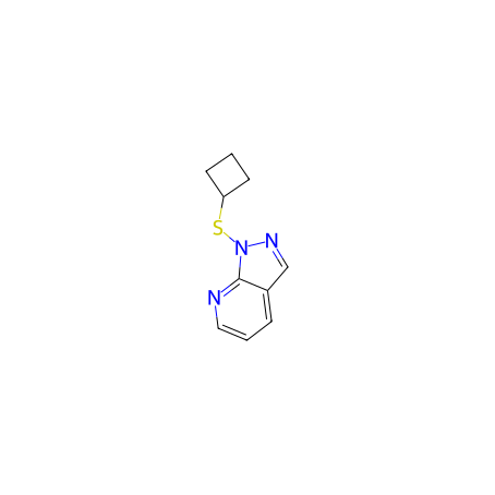 c1cnc2c(c1)cnn2SC1CCC1